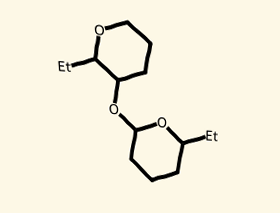 CCC1CCCC(OC2CCCOC2CC)O1